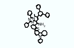 CC/C(=C\C(=C(/N)C1=CCCc2c1sc1c2C=CC2C1C1CCCCC=C1N2C1=CC=CCC1)c1nc(C2=CCCC=C2)nc(C2=CCCCC2)n1)C1C=C(C2=CC=CCC2)CC(C2C=CC=CC2)C1